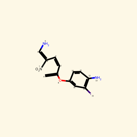 C=C(/C=C\C(=C/N)[N+](=O)[O-])Oc1ccc(N)c(I)c1